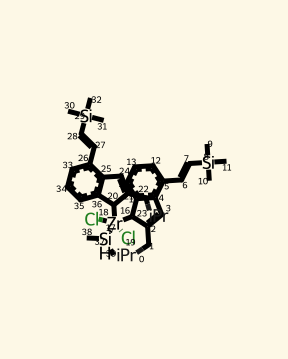 CC(C)CC1=Cc2c(C=C[Si](C)(C)C)cccc2[CH]1[Zr]([Cl])([Cl])([CH]1C(CC(C)C)=Cc2c(C=C[Si](C)(C)C)cccc21)[SiH](C)C